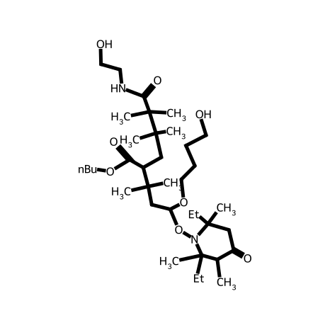 CCCCOC(=O)C(CC(C)(C)C(C)(C)C(=O)NCCO)C(C)(C)CC(OCCCCO)ON1C(C)(CC)CC(=O)C(C)C1(C)CC